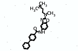 CN(C)CCN(C)c1nc2cc(NC(=O)c3ccc(-c4ccccc4)cc3)ccc2o1